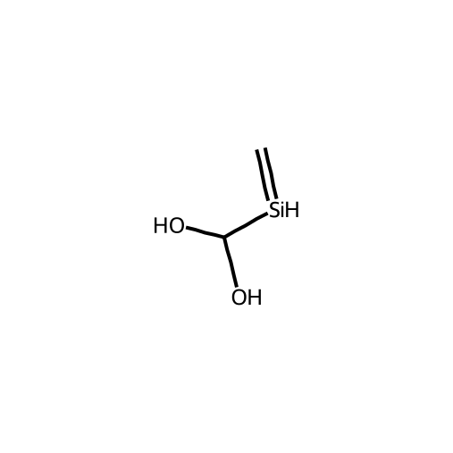 C=[SiH]C(O)O